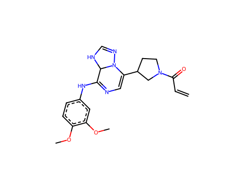 C=CC(=O)N1CCC(C2=CN=C(Nc3ccc(OC)c(OC)c3)C3NC=NN23)C1